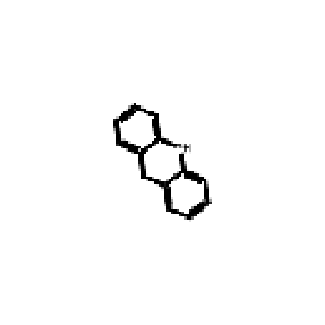 c1ccc2c(c1)Cc1ccccc1P2